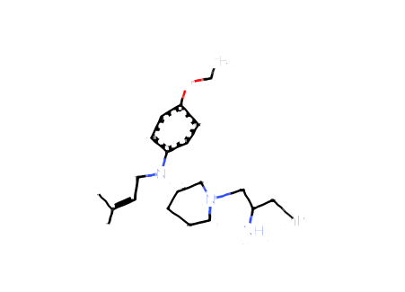 CC(C)=CCN(c1ccc(OCC(C)(C)C)cc1)[C@H]1CCCN(CC(N)CC(C)C)C1